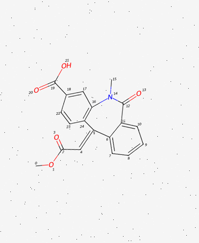 COC(=O)/C=C1/c2ccccc2C(=O)N(C)c2cc(C(=O)O)ccc21